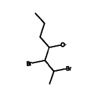 CCCC([O])C(Br)C(C)Br